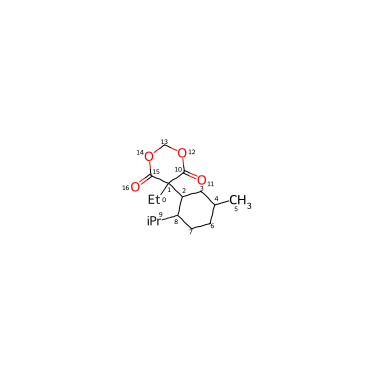 CCC1(C2CC(C)CCC2C(C)C)C(=O)OCOC1=O